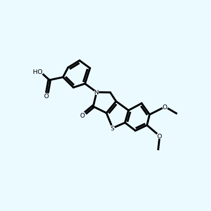 COc1cc2sc3c(c2cc1OC)CN(c1cccc(C(=O)O)c1)C3=O